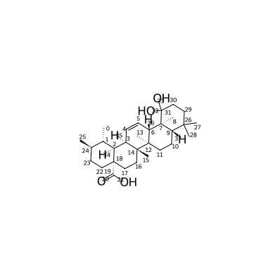 C[C@@H]1[C@H]2[C@H]3C=C[C@@H]4[C@]5(C)[C@@H](CC[C@@]4(C)[C@]3(C)CC[C@@]2(C(=O)O)CC[C@H]1C)C(C)(C)CCC5(O)O